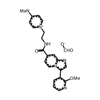 CNc1cc[n+](CCNC(=O)c2ccn3c(-c4cccnc4OC)cnc3c2)cc1.O=C[O-]